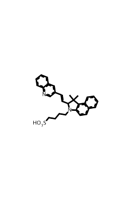 CC1(C)c2c(ccc3ccccc23)N(CCCCS(=O)(=O)O)C1C=Cc1cnc2ccccc2c1